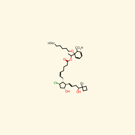 CCCCCCCCCCCCCCCOC1(C(C)OC(=O)CCC/C=C\C[C@@H]2[C@@H](/C=C/C[C@H](O)C3(CC)CCC3)[C@H](O)C[C@H]2Cl)C=CC=CC1C(=O)O